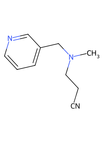 CN(CCC#N)Cc1cccnc1